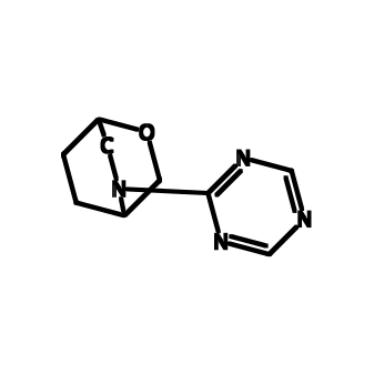 c1ncnc(N2CC3CCC2CO3)n1